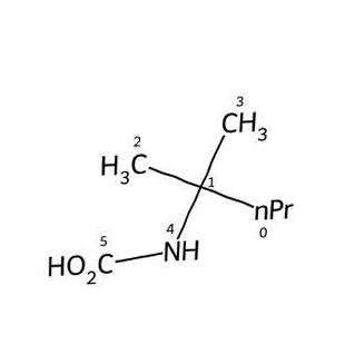 CCCC(C)(C)NC(=O)O